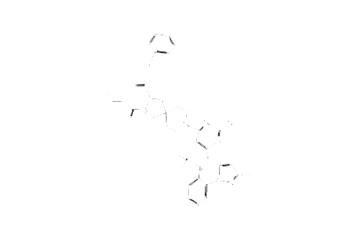 CCOC(=O)[C@@H]1CC2(CCN(c3cc(O[C@H](c4ccccc4-n4ccc(C)n4)C(F)(F)F)nc(N)n3)CC2)CN1C(=O)OCc1ccccc1